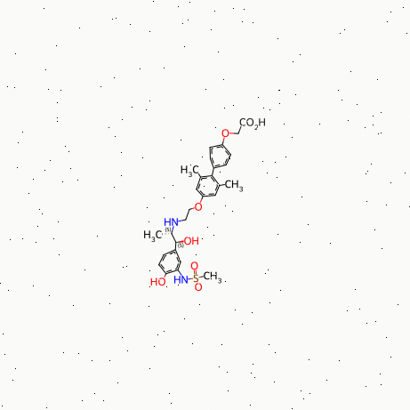 Cc1cc(OCCN[C@@H](C)[C@@H](O)c2ccc(O)c(NS(C)(=O)=O)c2)cc(C)c1-c1ccc(OCC(=O)O)cc1